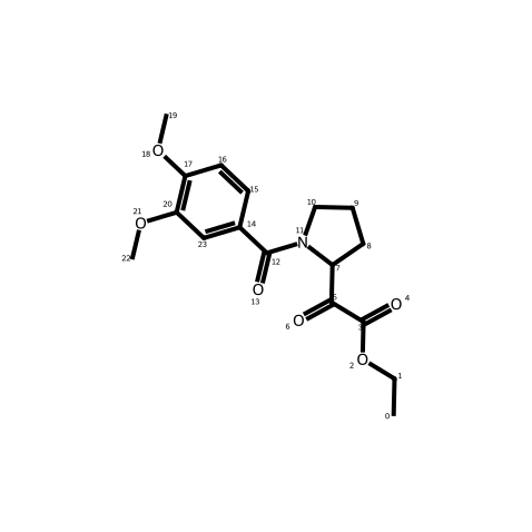 CCOC(=O)C(=O)C1CCCN1C(=O)c1ccc(OC)c(OC)c1